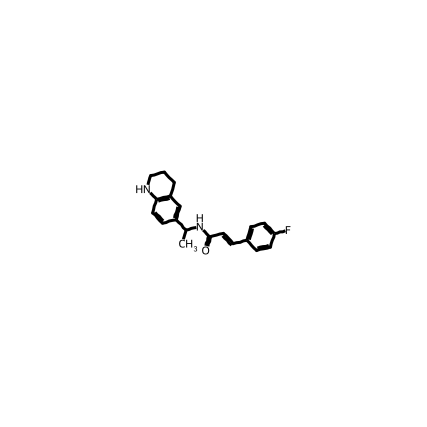 CC(NC(=O)C=Cc1ccc(F)cc1)c1ccc2c(c1)CCCN2